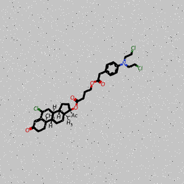 CC(=O)[C@@]1(OC(=O)CCCOC(=O)Cc2ccc(N(CCCl)CCCl)cc2)CC[C@H]2[C@@H]3CC(Cl)C4=CC(=O)CC[C@]4(C)[C@H]3CC[C@@]21C